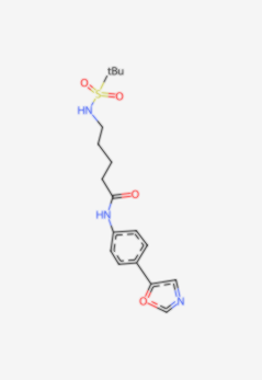 CC(C)(C)S(=O)(=O)NCCCCC(=O)Nc1ccc(-c2cnco2)cc1